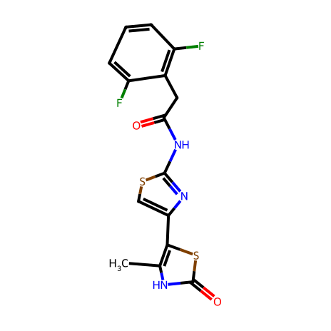 Cc1[nH]c(=O)sc1-c1csc(NC(=O)Cc2c(F)cccc2F)n1